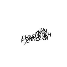 Cc1ccc(NC(=O)c2ccc(Cl)c(C(F)(F)F)c2)cc1Nc1nccn1-c1cc(NC2CC=CC=N2)ncn1